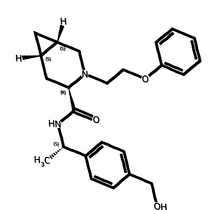 C[C@H](NC(=O)[C@H]1C[C@@H]2C[C@@H]2CN1CCOc1ccccc1)c1ccc(CO)cc1